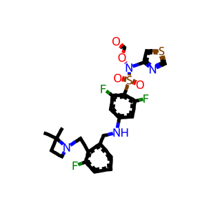 CC1(C)CCN1Cc1c(F)cccc1CNc1cc(F)c(S(=O)(=O)N(OC=O)c2cscn2)c(F)c1